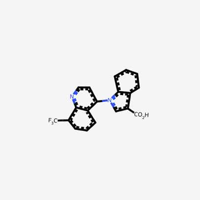 O=C(O)c1cn(-c2ccnc3c(C(F)(F)F)cccc23)c2ccccc12